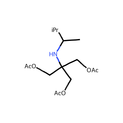 CC(=O)OCC(COC(C)=O)(COC(C)=O)NC(C)C(C)C